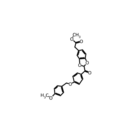 COC(=O)Cc1ccc2c(c1)OC(C(=O)c1ccc(OCc3ccc(OC)cc3)cc1)O2